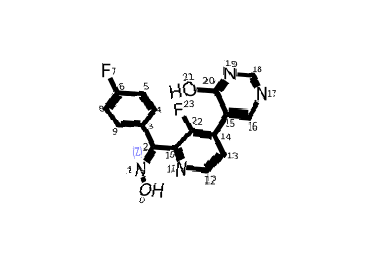 O/N=C(/c1ccc(F)cc1)c1nccc(-c2cncnc2O)c1F